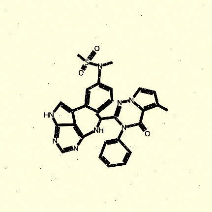 Cc1ccn2nc(C(C)Nc3ncnc4[nH]cc(-c5cccc(N(C)S(C)(=O)=O)c5)c34)n(-c3ccccc3)c(=O)c12